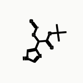 CC(C)(C)OC(=O)C(O[C]=O)c1c[nH]cn1